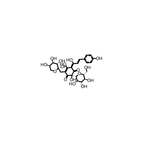 O=C1C(C[C@@]2(O)OC[C@@H](O)[C@@H](O)[C@@H]2O)=C(O)/C(=C(O)/C=C/c2ccc(O)cc2)C(=O)C1(O)[C@@H]1O[C@H](CO)[C@@H](O)[C@H](O)[C@H]1O